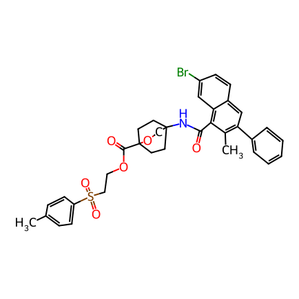 Cc1ccc(S(=O)(=O)CCOC(=O)C23CCC(NC(=O)c4c(C)c(-c5ccccc5)cc5ccc(Br)cc45)(CC2)CO3)cc1